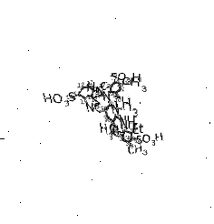 CCc1c(Nc2nc(N(c3nc4ccc(S(=O)(=O)O)cc4s3)c3c(C)cc(C)c(S(=O)(=O)O)c3C)c(C#N)cc2C)c(C)cc(C)c1S(=O)(=O)O